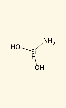 N[SiH](O)O